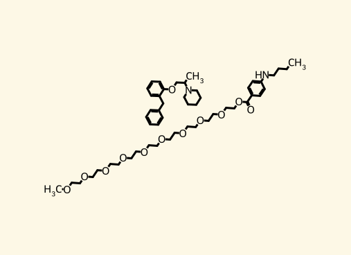 CC(COc1ccccc1Cc1ccccc1)N1CCCCC1.CCCCNc1ccc(C(=O)OCCOCCOCCOCCOCCOCCOCCOCCOCCOC)cc1